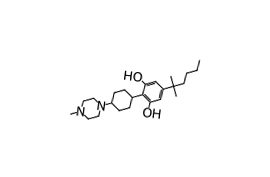 CCCCC(C)(C)c1cc(O)c(C2CCC(N3CCN(C)CC3)CC2)c(O)c1